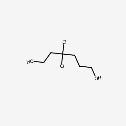 OCCCC(Cl)(Cl)CCO